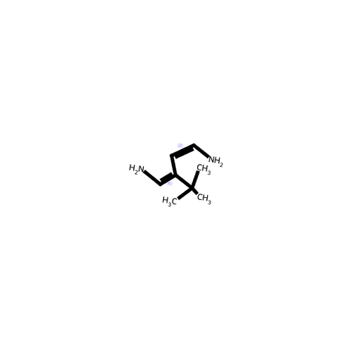 CC(C)(C)C(/C=C\N)=C/N